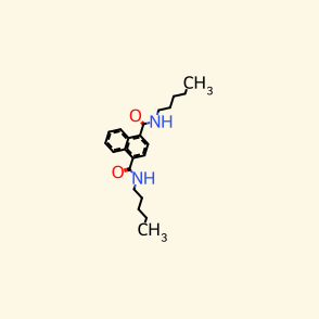 CCCCCNC(=O)c1ccc(C(=O)NCCCCC)c2ccccc12